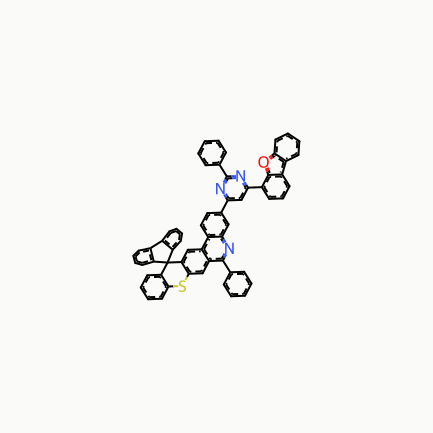 c1ccc(-c2nc(-c3ccc4c(c3)nc(-c3ccccc3)c3cc5c(cc34)C3(c4ccccc4S5)c4ccccc4-c4ccccc43)cc(-c3cccc4c3oc3ccccc34)n2)cc1